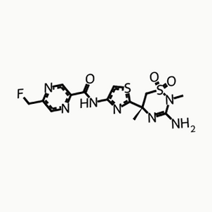 CN1C(N)=N[C@](C)(c2nc(NC(=O)c3cnc(CF)cn3)cs2)CS1(=O)=O